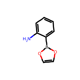 Nc1ccccc1B1OC=CO1